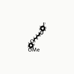 COc1ccc(OCCCCCCOc2ccc(I)cc2)cc1